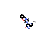 C[C@@H]1CN(c2cc(=O)n(C)c3ccc(C#N)nc23)[C@@H](C)CN1Cc1ccccc1O